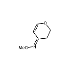 CON=C1C=CO[CH]C1